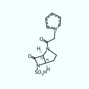 O=C(C[n+]1ccccc1)N1CC[C@@H]2[C@H]1C(=O)N2S(=O)(=O)O